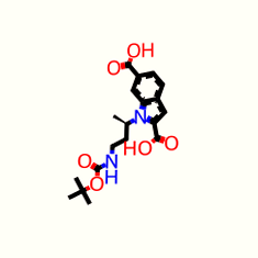 C[C@H](CCNC(=O)OC(C)(C)C)n1c(C(=O)O)cc2ccc(C(=O)O)cc21